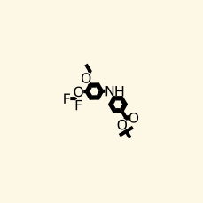 CCOc1cc(Nc2ccc(C(=O)OC(C)(C)C)cc2)ccc1OC(F)F